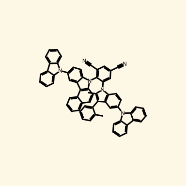 Cc1ccccc1-c1c(C)n(-c2cc(C#N)cc(C#N)c2-n2c3ccc(-n4c5ccccc5c5ccccc54)cc3c3c4ccccc4ccc32)c2ccc(-n3c4ccccc4c4ccccc43)cc12